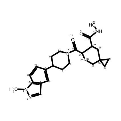 Cn1ncc2cc(C3CCN(C(=O)C4NCC5(CC5)CC4C(=O)NO)CC3)ccc21